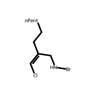 CCCCCCCC(=CCl)CNBr